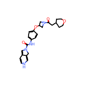 O=C(Nc1ccc(OC2CN(C(=O)CC3CCOCC3)C2)cc1)N1C=C2C=CNC=C2C1